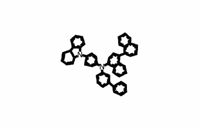 C1=CC2c3ccccc3N(c3ccc(N(c4cccc(-c5ccccc5)c4)c4ccc(-c5cccc6ccccc56)c5ccccc45)cc3)C2C=C1